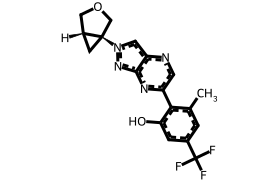 Cc1cc(C(F)(F)F)cc(O)c1-c1cnc2cn([C@]34COC[C@H]3C4)nc2n1